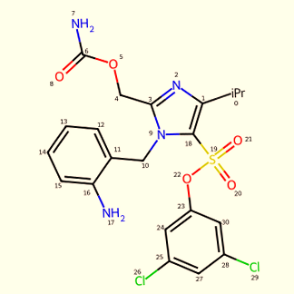 CC(C)c1nc(COC(N)=O)n(Cc2ccccc2N)c1S(=O)(=O)Oc1cc(Cl)cc(Cl)c1